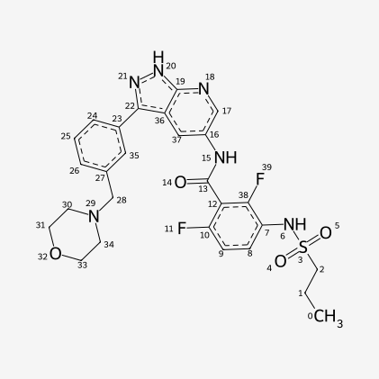 CCCS(=O)(=O)Nc1ccc(F)c(C(=O)Nc2cnc3[nH]nc(-c4cccc(CN5CCOCC5)c4)c3c2)c1F